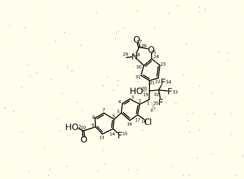 C[C@H](c1ccc(-c2ccc(C(=O)O)cc2F)cc1Cl)[C@@](O)(c1ccc2oc(=O)n(C)c2c1)C(F)(F)F